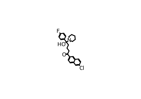 O=C(CCCC(O)(c1ccc(F)cc1)N1CCCCC1)c1ccc2cc(Cl)ccc2c1